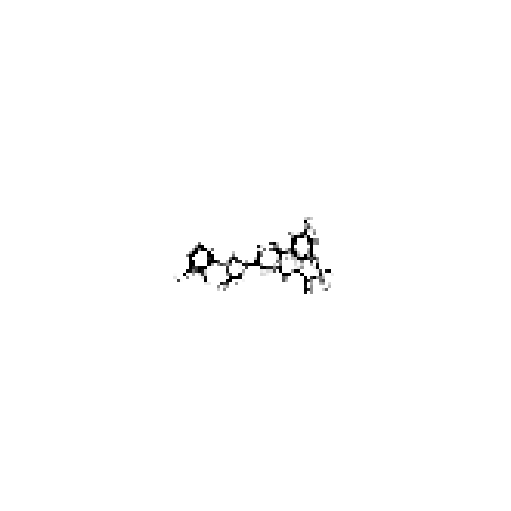 Cc1c(Cl)cccc1N1CN(C(=O)CN(CCNS(C)(=O)=O)C(=O)c2cccc(Cl)c2)CC1=O